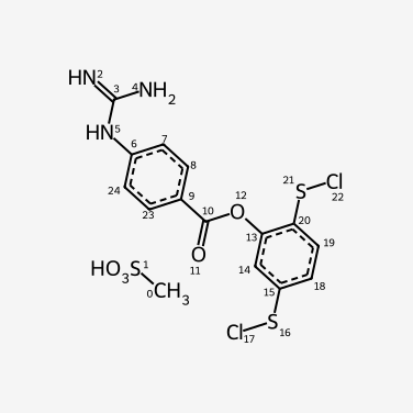 CS(=O)(=O)O.N=C(N)Nc1ccc(C(=O)Oc2cc(SCl)ccc2SCl)cc1